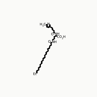 CCC=CCC=CCC=CCC=CCC=CCC=CCCC(=O)NCCCC(NC(=O)CC=Cc1ccc(C)nc1)C(=O)O